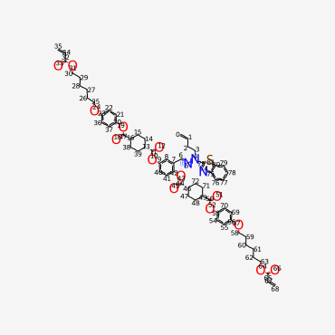 C=CCCN(/N=C/c1cc(OC(=O)[C@H]2CC[C@H](C(=O)Oc3ccc(OCCCCCCOC(=O)C=C)cc3)CC2)ccc1OC(=O)[C@H]1CC[C@H](C(=O)Oc2ccc(OCCCCCCOC(=O)C=C)cc2)CC1)c1nc2ccccc2s1